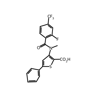 CN(C(=O)c1ccc(C(F)(F)F)cc1F)c1cc(-c2ccccc2)sc1C(=O)O